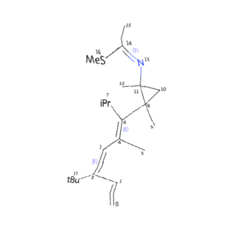 C=C/C(=C\C(C)=C(/C(C)C)C1(C)CC1(C)/N=C(/C)SC)C(C)(C)C